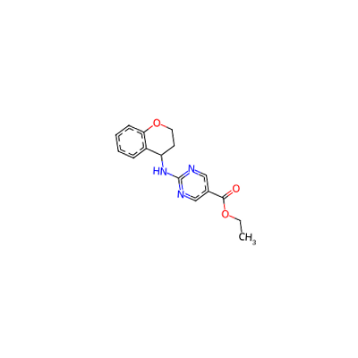 CCOC(=O)c1cnc(NC2CCOc3ccccc32)nc1